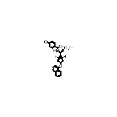 CCOC(=O)CC(NC(=O)c1ccc(Cl)cc1)[C@H]1[C@@H]2CC(Oc3cnnc4ccccc34)C[C@@H]21